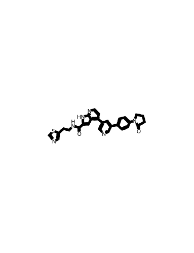 O=C(NCCc1cncs1)c1cc2c(-c3cncc(-c4ccc(N5CCCC5=O)cc4)c3)ccnc2[nH]1